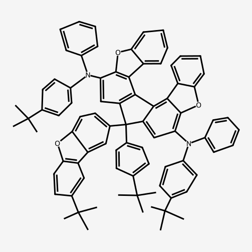 CC(C)(C)c1ccc(N(c2ccccc2)c2cc3c(c4c2oc2ccccc24)-c2c(cc(N(c4ccccc4)c4ccc(C(C)(C)C)cc4)c4oc5ccccc5c24)C3(c2ccc(C(C)(C)C)cc2)c2ccc3oc4ccc(C(C)(C)C)cc4c3c2)cc1